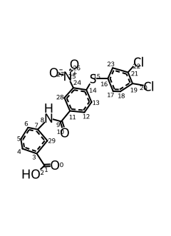 O=C(O)c1cccc(NC(=O)c2ccc(Sc3ccc(Cl)c(Cl)c3)c([N+](=O)[O-])c2)c1